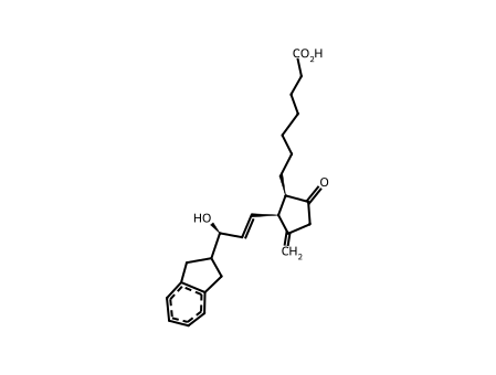 C=C1CC(=O)[C@H](CCCCCCC(=O)O)[C@@H]1C=C[C@H](O)C1Cc2ccccc2C1